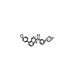 COc1ccc(-c2cccc3nc(Nc4cccc(N5CCN(C)CC5)c4)ncc23)cc1